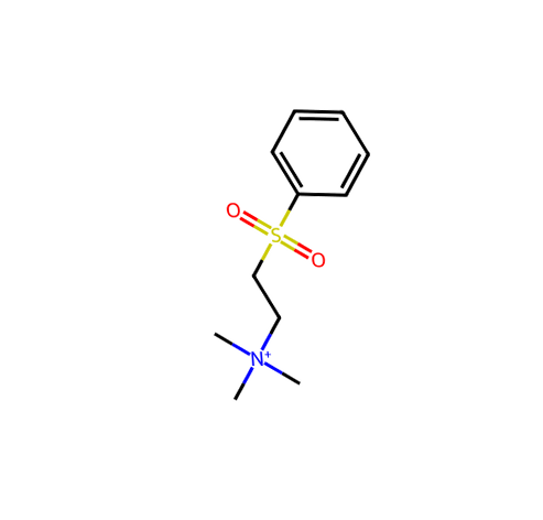 C[N+](C)(C)CCS(=O)(=O)c1ccccc1